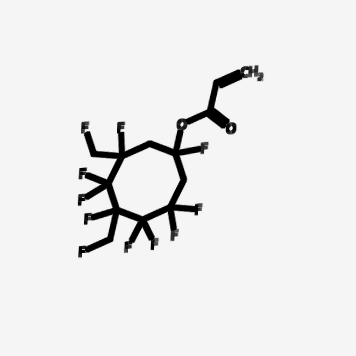 C=CC(=O)OC1(F)CC(F)(F)C(F)(F)C(F)(CF)C(F)(F)C(F)(CF)C1